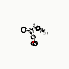 OC(F)(F)Oc1ccc(Nc2nc(N3CCCCCC3)nc(N3CCN(C45CC6CC(CC(C6)C4)C5)CC3)n2)cc1